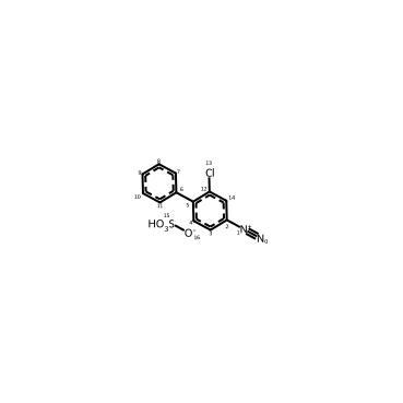 N#[N+]c1ccc(-c2ccccc2)c(Cl)c1.O=S(=O)([O-])O